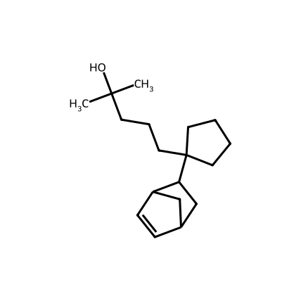 CC(C)(O)CCCC1(C2CC3C=CC2C3)CCCC1